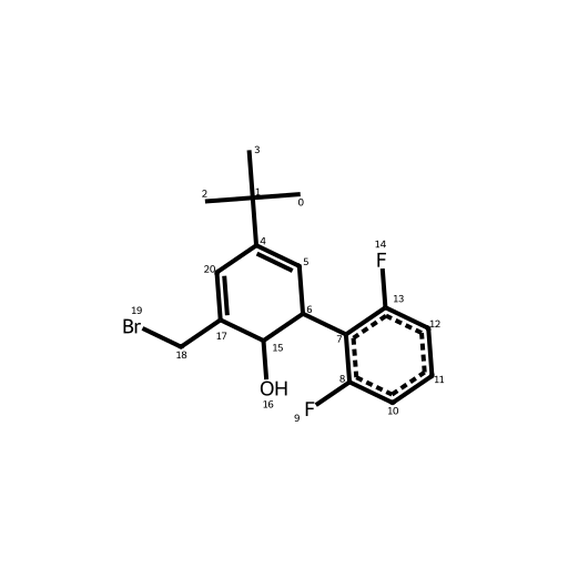 CC(C)(C)C1=CC(c2c(F)cccc2F)C(O)C(CBr)=C1